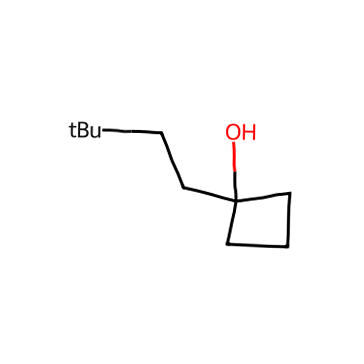 CC(C)(C)CCC1(O)CCC1